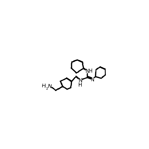 NCC1CCC(CN/C(=N/C2CCCCC2)NC2CCCCC2)CC1